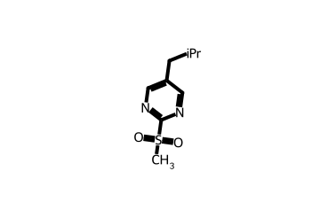 CC(C)Cc1cnc(S(C)(=O)=O)nc1